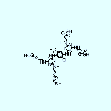 Cc1cc(Nc2nc(NCCS(=O)(=O)O)nc(NCCS(=O)(=O)O)n2)c(C)cc1Nc1nc(NCCSOOO)nc(NCCSOOO)n1